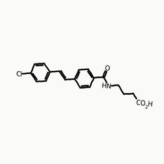 O=C(O)CCCNC(=O)c1ccc(C=Cc2ccc(Cl)cc2)cc1